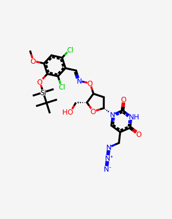 COc1cc(Cl)c(/C=N/OC2C[C@H](n3cc(CN=[N+]=[N-])c(=O)[nH]c3=O)O[C@@H]2CO)c(Cl)c1O[Si](C)(C)C(C)(C)C